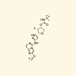 CC1(NC(=O)O[C@@H]2CO[C@H](c3cc(Nc4nccc5nc(OC(F)(F)F)cn45)n[nH]3)[C@@H]2F)CC1